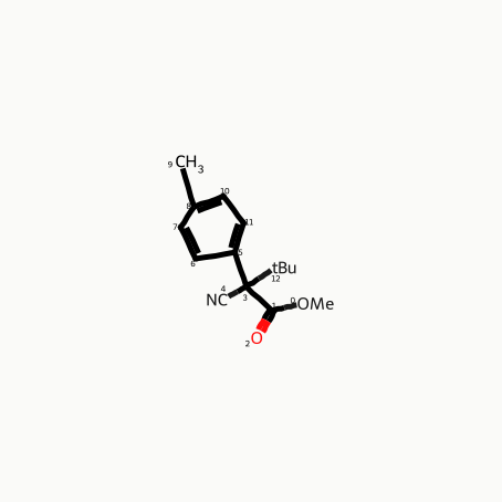 COC(=O)C(C#N)(c1ccc(C)cc1)C(C)(C)C